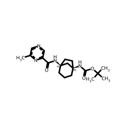 Cc1cncc(C(=O)N[C@@]23CCC[C@@](NC(=O)OC(C)(C)C)(CC2)C3)n1